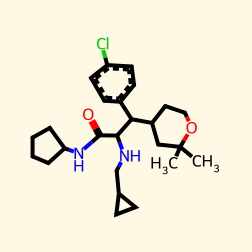 CC1(C)CC(C(c2ccc(Cl)cc2)C(NCC2CC2)C(=O)NC2CCCC2)CCO1